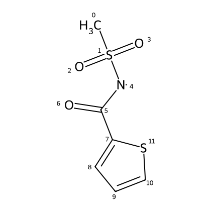 CS(=O)(=O)[N]C(=O)c1cccs1